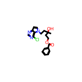 CC(O)(CCOC(=O)c1ccccc1)CCn1ccc2ncnc(Cl)c21